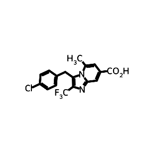 Cc1cc(C(=O)O)cc2nc(C(F)(F)F)c(Cc3ccc(Cl)cc3)n12